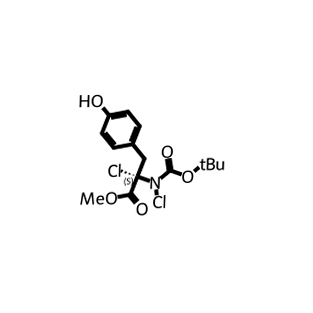 COC(=O)[C@@](Cl)(Cc1ccc(O)cc1)N(Cl)C(=O)OC(C)(C)C